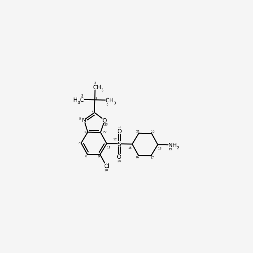 CC(C)(C)c1nc2ccc(Cl)c(S(=O)(=O)C3CCC(N)CC3)c2o1